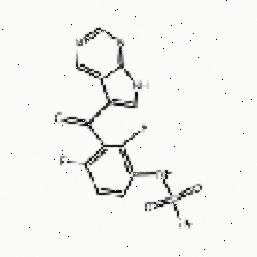 CC(C)S(=O)(=O)Nc1ccc(F)c(C(=O)c2c[nH]c3ncncc23)c1F